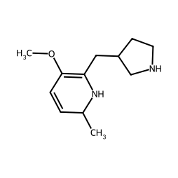 COC1=C(CC2CCNC2)NC(C)C=C1